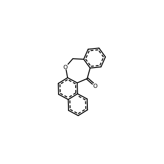 O=C1c2ccccc2COc2ccc3ccccc3c21